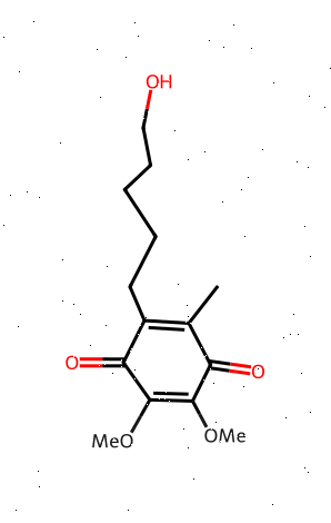 COC1=C(OC)C(=O)C(CCCCCO)=C(C)C1=O